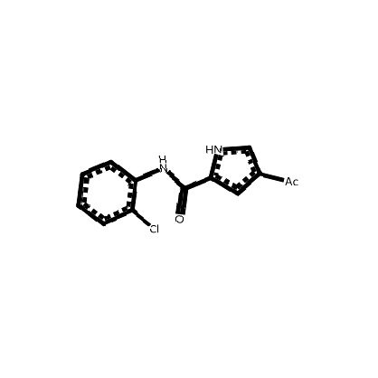 CC(=O)c1c[nH]c(C(=O)Nc2ccccc2Cl)c1